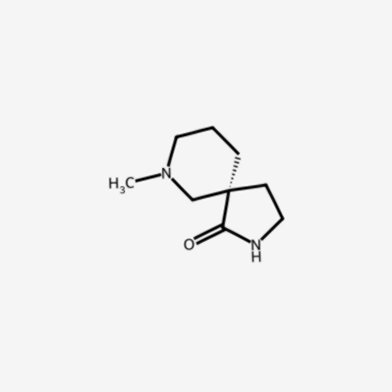 CN1CCC[C@@]2(CCNC2=O)C1